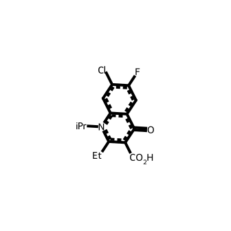 CCc1c(C(=O)O)c(=O)c2cc(F)c(Cl)cc2n1C(C)C